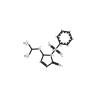 CC(C)OC1C=CC(=O)N1S(=O)(=O)c1ccccc1